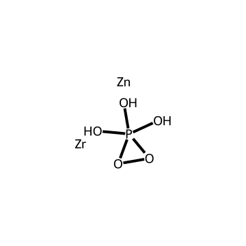 OP1(O)(O)OO1.[Zn].[Zr]